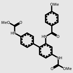 COC(=O)Nc1ccc(-c2ccc(NC(=O)OC)cc2NC(=O)c2ccc(OC)cc2)cc1